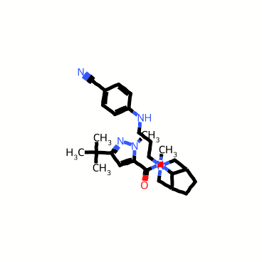 CN(C(=O)c1cc(C(C)(C)C)nn1C)C1C2CCC1CN(CCCNc1ccc(C#N)cc1)C2